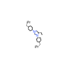 C=Cc1c[n+](-c2ccc(CC(C)C)cc2)cn1-c1ccc(CC(C)C)cc1